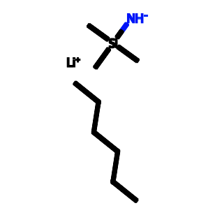 CCCCCC.C[Si](C)(C)[NH-].[Li+]